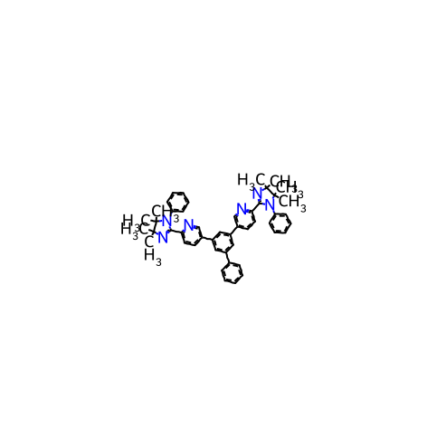 CC1(C)N=C(c2ccc(-c3cc(-c4ccccc4)cc(-c4ccc(C5=NC(C)(C)C(C)(C)N5c5ccccc5)nc4)c3)cn2)N(c2ccccc2)C1(C)C